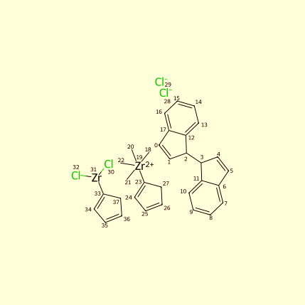 C1=CC(C2C=Cc3ccccc32)c2ccccc21.[CH3][Zr+2]([CH3])([CH3])([CH3])[C]1=CC=CC1.[Cl-].[Cl-].[Cl][Zr]([Cl])[C]1=CC=CC1